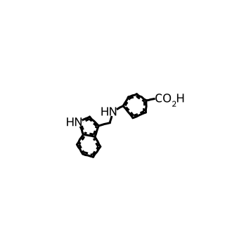 O=C(O)c1ccc(NCc2c[nH]c3ccccc23)cc1